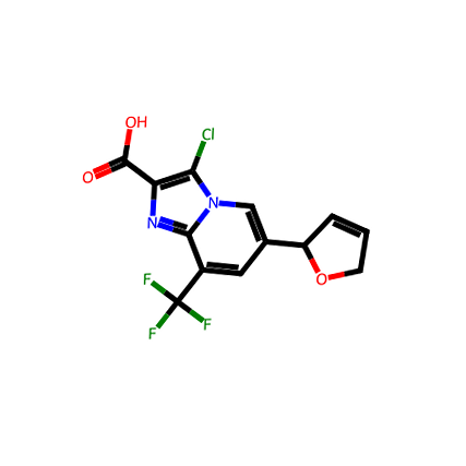 O=C(O)c1nc2c(C(F)(F)F)cc(C3C=CCO3)cn2c1Cl